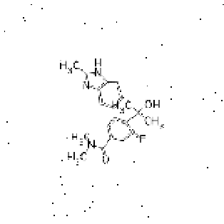 Cc1nc2cc(-c3cc(C(=O)N(C)C)cc(F)c3C(C)(C)O)ccc2[nH]1